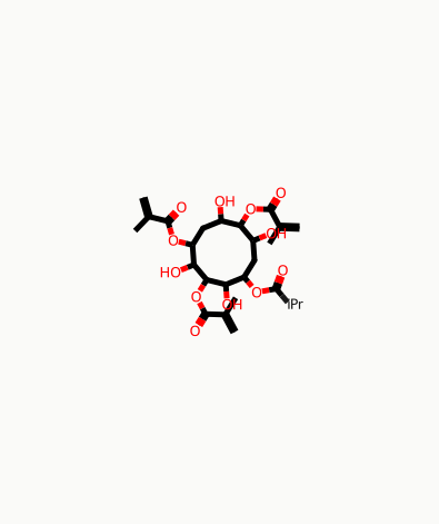 C=C(C)C(=O)OC1CC(O)C(OC(=O)C(=C)C)C(O)CC(OC(=O)C(C)C)C(O)C(OC(=O)C(=C)C)C1O